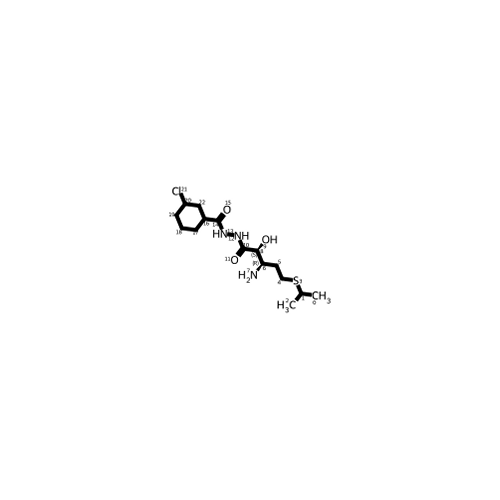 CC(C)SCC[C@@H](N)[C@H](O)C(=O)NNC(=O)C1CCCC(Cl)C1